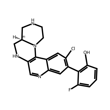 Oc1cccc(F)c1-c1cc2ncc3c(c2cc1Cl)N1CCNC[C@@H]1CN3